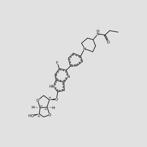 CCC(=O)NC1CCN(c2ccc(-c3nc4cc(O[C@@H]5CO[C@H]6[C@@H]5OC[C@H]6O)[nH]c4cc3F)cc2)CC1